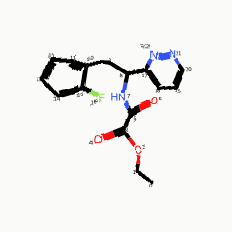 CCOC(=O)C(=O)NC(Cc1ccccc1F)c1cccnn1